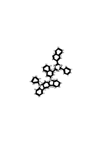 c1ccc(-c2nc(-c3ccc4ccccc4c3)nc(-c3cc(-n4c5ccccc5c5cc6c7ccccc7n(-c7ccccc7)c6cc54)cc4ccccc34)n2)cc1